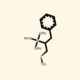 CO[Si](OC)(OC)C(CSC#N)Cc1ccccc1